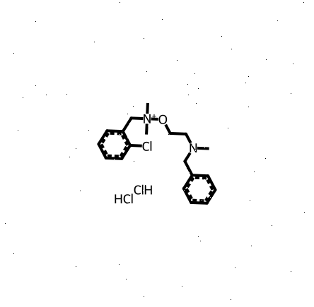 CN(CCO[N+](C)(C)Cc1ccccc1Cl)Cc1ccccc1.Cl.Cl